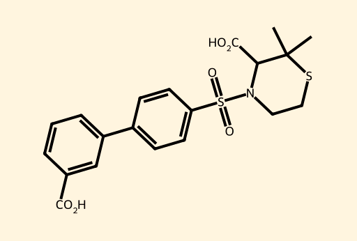 CC1(C)SCCN(S(=O)(=O)c2ccc(-c3cccc(C(=O)O)c3)cc2)C1C(=O)O